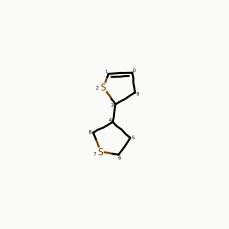 C1=CSC(C2CCSC2)C1